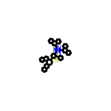 c1ccc2cc3c(cc2c1)CCC(c1ccc(-c2nc(-c4cc5ccccc5c5ccccc45)nc(-c4cc5ccccc5c5ccccc45)n2)c2c1sc1ccccc12)c1ccc2ccccc2c1-3